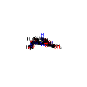 COc1cc2c(nc1N1CCOCC1)COC[C@@H]2N1CCN(C2CC3(CCN(c4ccc(C(=O)NS(=O)(=O)c5ccc(NCC6CCC(C)(O)CC6)c([N+](=O)[O-])c5)c(N5c6cc7cc[nH]c7nc6O[C@H]6COCC[C@@H]65)c4)CC3)C2)[C@@H](c2ccccc2OC(C)C)C1